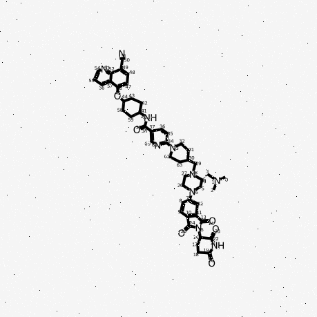 CN(C)C[C@@H]1CN(c2ccc3c(c2)C(=O)N(C2CCC(=O)NC2=O)C3=O)CCN1CC1CCN(c2ccc(C(=O)NC3CCC(Oc4ccc(C#N)c5ncccc45)CC3)cn2)CC1